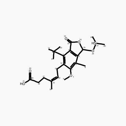 COc1c(C)c2c(c(C(C)(C)C)c1CC=C(C)CCC(=O)O)C(=O)OC2O[SiH](C)C